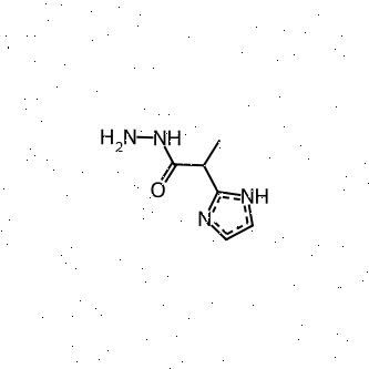 CC(C(=O)NN)c1ncc[nH]1